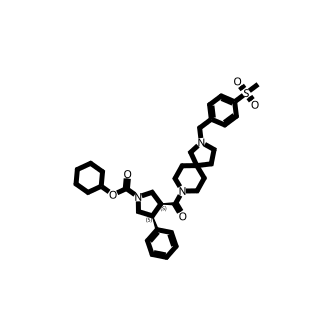 CS(=O)(=O)c1ccc(CN2CCC3(CCN(C(=O)[C@@H]4CN(C(=O)OC5CCCCC5)C[C@@H]4c4ccccc4)CC3)C2)cc1